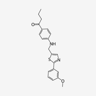 CCCC(=O)c1ccc(NCc2cnc(-c3cccc(OC)c3)s2)cc1